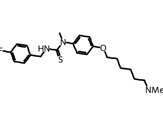 CNCCCCCCOc1ccc(N(C)C(=S)NCc2ccc(F)cc2)cc1